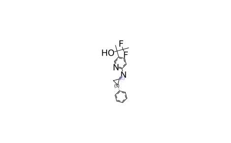 CC(F)(F)C(C)(O)c1ccc(/N=C2\C[C@H]2c2ccccc2)nc1